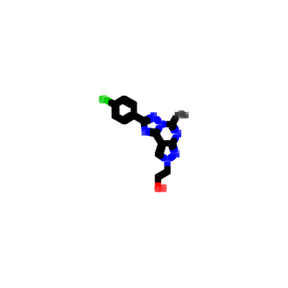 CCCCc1nc2nn(CCO)cc2c2nc(-c3ccc(Cl)cc3)nn12